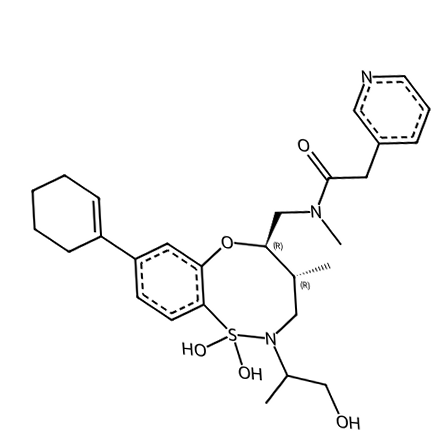 CC(CO)N1C[C@@H](C)[C@H](CN(C)C(=O)Cc2cccnc2)Oc2cc(C3=CCCCC3)ccc2S1(O)O